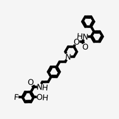 O=C(Nc1ccccc1-c1ccccc1)OC1CCN(CCc2ccc(CCNC(=O)c3cc(F)ccc3O)cc2)CC1